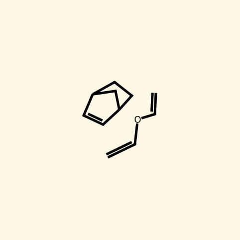 C1=CC2CCC1C2.C=COC=C